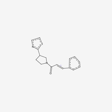 O=C(/C=C/c1ccccc1)N1CCC(c2nccs2)C1